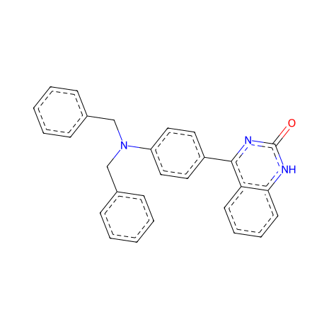 O=c1nc(-c2ccc(N(Cc3ccccc3)Cc3ccccc3)cc2)c2ccccc2[nH]1